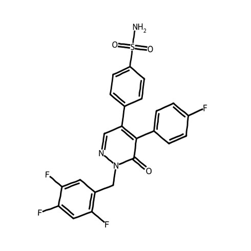 NS(=O)(=O)c1ccc(-c2cnn(Cc3cc(F)c(F)cc3F)c(=O)c2-c2ccc(F)cc2)cc1